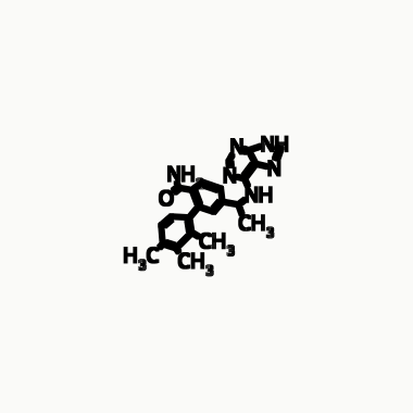 Cc1ccc(-c2cc(C(C)Nc3ncnc4[nH]cnc34)ccc2C(N)=O)c(C)c1C